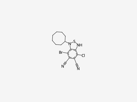 N#Cc1c(Cl)c2c(c(Br)c1C#N)N(C1CCCCCCC1)SN2